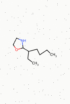 CCCCC(CC)C1NCCO1